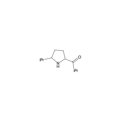 CC(C)C(=O)C1CCC(C(C)C)N1